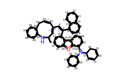 CC1/C=C(/C=C(/c2cccc3ccccc23)c2cccc3oc4c(N(c5ccccc5)C5C=CC=CC5)cccc4c23)\C=C/Cc2ccccc2N1